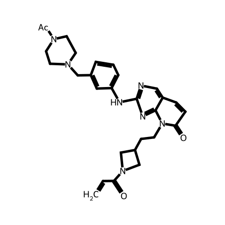 C=CC(=O)N1CC(CCn2c(=O)ccc3cnc(Nc4cccc(CN5CCN(C(C)=O)CC5)c4)nc32)C1